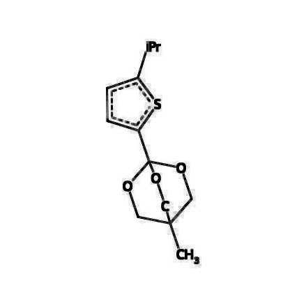 CC(C)c1ccc(C23OCC(C)(CO2)CO3)s1